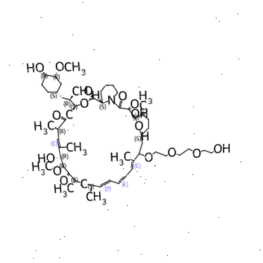 CO[C@@H]1C[C@H](C[C@@H](C)[C@@H]2CC(=O)[C@H](C)/C=C(\C)[C@@H](O)[C@@H](OC)C(=O)[C@H](C)C[C@H](C)/C=C/C=C/C=C(\C)C(OCCOCCOCCO)C[C@@H]3CC[C@@H](C)[C@@](O)(O3)C(=O)C(=O)N3CCCC[C@H]3C(=O)O2)CC[C@H]1O